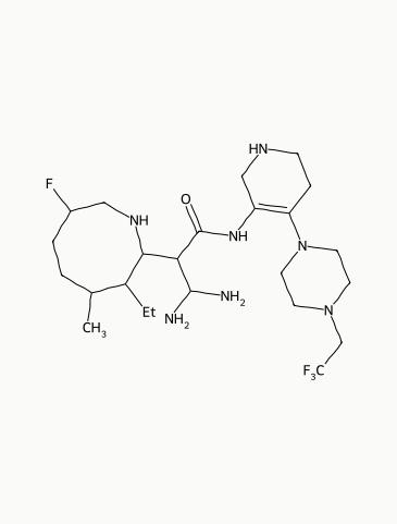 CCC1C(C)CCC(F)CNC1C(C(=O)NC1=C(N2CCN(CC(F)(F)F)CC2)CCNC1)C(N)N